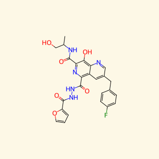 CC(CO)NC(=O)c1nc(C(=O)NNC(=O)c2ccco2)c2cc(Cc3ccc(F)cc3)cnc2c1O